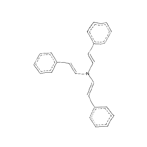 C(=CN(C=Cc1ccccc1)C=Cc1ccccc1)c1ccccc1